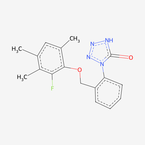 Cc1cc(C)c(OCc2ccccc2-n2nn[nH]c2=O)c(F)c1C